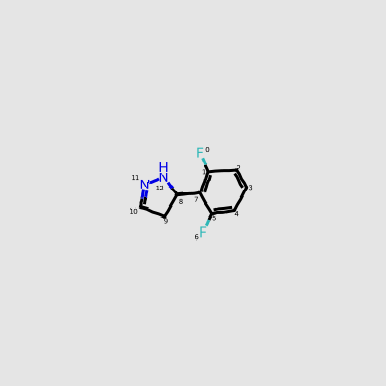 Fc1cccc(F)c1C1CC=NN1